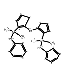 C[Si](C)(Nc1ccccc1)C1=[C]([Hf][C]2=C([Si](C)(C)Nc3ccccc3)C=CC2)CC=C1